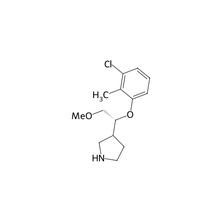 COC[C@H](Oc1cccc(Cl)c1C)C1CCNC1